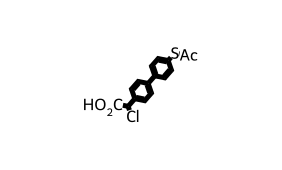 CC(=O)Sc1ccc(-c2ccc(C(Cl)C(=O)O)cc2)cc1